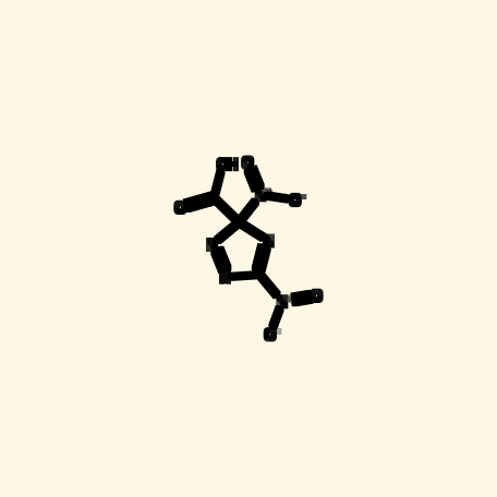 O=C(O)C1([N+](=O)[O-])N=NC([N+](=O)[O-])=N1